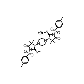 C/N=C1\C(N2CCN(C3/C(=N\C(C)(C)C)N(S(=O)(=O)c4ccc(C)cc4)C(=O)C3(C)C)CC2)C(C)(C)C(=O)N1S(=O)(=O)c1ccc(C)cc1